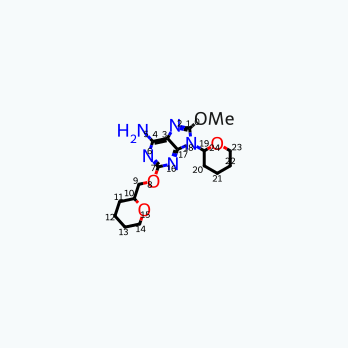 COc1nc2c(N)nc(OCC3CCCCO3)nc2n1C1CCCCO1